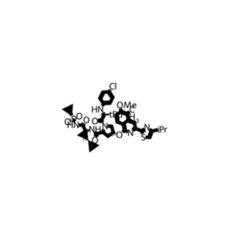 COc1ccc2c(O[C@@H]3CC(C(=O)N[C@]4(C(=O)NS(=O)(=O)C5CC5)C[C@H]4C4CC4)N(C(=O)[C@@H](Nc4ccc(Cl)cc4)C(C)(C)C)C3)nc(-c3nc(C(C)C)cs3)cc2c1C